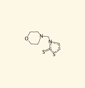 S=c1sccn1CN1CCOCC1